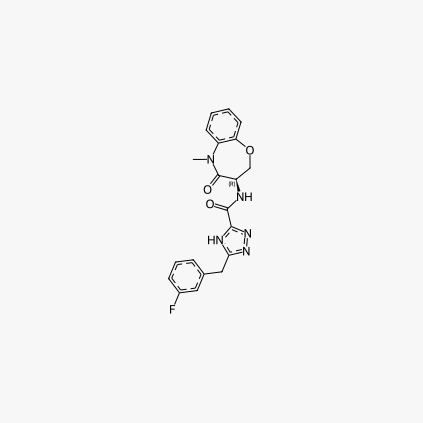 CN1C(=O)[C@H](NC(=O)c2nnc(Cc3cccc(F)c3)[nH]2)COc2ccccc21